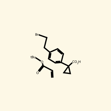 C=CC(=O)OC(C)(C)C.O=C(O)C1(c2ccc(CCBr)cc2)CC1